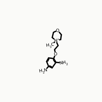 C[N+]1(CCOc2ccc(N)cc2N)CCOCC1